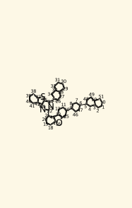 c1ccc2cc(-c3ccc(-c4ccc5c(c4)oc4cccc(-c6nc(-c7ccc8ccccc8c7)c7sc8ccccc8c7n6)c45)cc3)ccc2c1